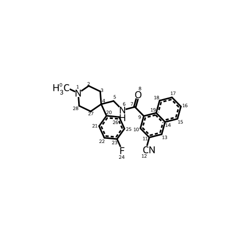 CN1CCC(CNC(=O)c2cc(C#N)cc3ccccc23)(c2ccc(F)cc2)CC1